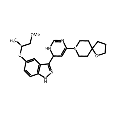 COC[C@H](C)Oc1ccc2[nH]nc(C3C=C(N4CCC5(CCCO5)CC4)N=CN3)c2c1